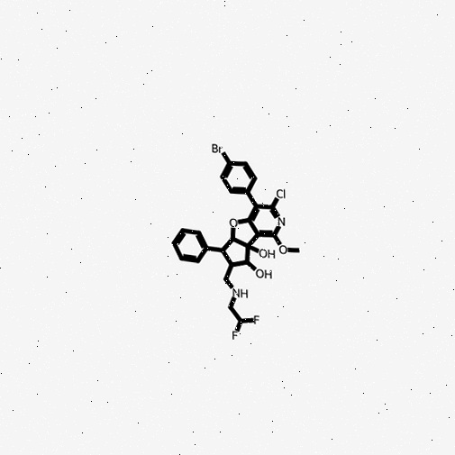 COc1nc(Cl)c(-c2ccc(Br)cc2)c2c1C1(O)C(O)C(CNCC(F)F)C(c3ccccc3)C1O2